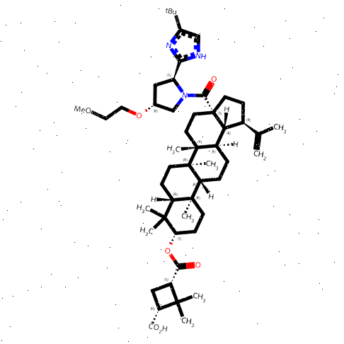 C=C(C)[C@@H]1CC[C@]2(C(=O)N3C[C@H](OCCOC)C[C@H]3c3nc(C(C)(C)C)c[nH]3)CC[C@]3(C)[C@H](CC[C@@H]4[C@@]5(C)CC[C@H](OC(=O)[C@H]6C[C@@H](C(=O)O)C6(C)C)C(C)(C)[C@@H]5CC[C@]43C)[C@@H]12